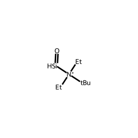 CC[N+](CC)([SiH]=O)C(C)(C)C